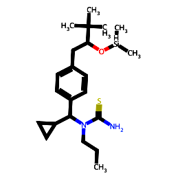 CCCN(C(N)=S)C(c1ccc(CC(O[SiH](C)C)C(C)(C)C)cc1)C1CC1